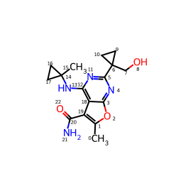 Cc1oc2nc(C3(CO)CC3)nc(NC3(C)CC3)c2c1C(N)=O